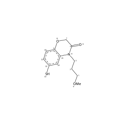 COCCCN1C(=O)COc2ccc(S)cc21